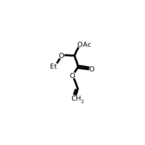 C=COC(=O)C(OCC)OC(C)=O